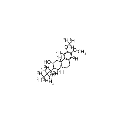 [2H]c1c2c(c([2H])c(OC([2H])([2H])[2H])c1OC)C1([2H])CC(O)C(C([2H])([2H])C([2H])(C)C([2H])([2H])[2H])C([2H])([2H])N1CC2